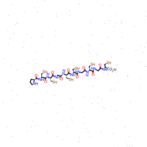 O=C(CNC(=O)[C@H](CS)NC(=O)CNC(=O)[C@H](CS)NC(=O)[C@H](CS)NC(=O)CNC(=O)[C@H](CS)NC(=O)[C@H](CS)NC(=O)[C@@H]1CCCN1)N[C@@H](CS)C(=O)O